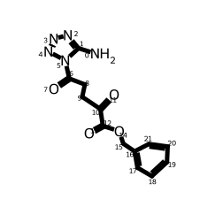 Nc1nnnn1C(=O)CCC(=O)C(=O)OCc1ccccc1